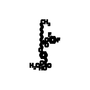 CCCCCCCCN(CCOc1ccc(CC(OCC)C(=O)O)cc1)C(=O)Oc1ccc(F)cc1F